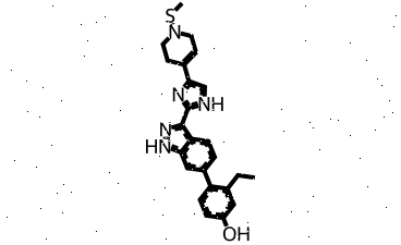 CCc1cc(O)ccc1-c1ccc2c(-c3nc(C4=CCN(SC)CC4)c[nH]3)n[nH]c2c1